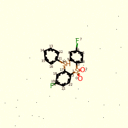 O=S1(=O)c2ccc(F)cc2[SH](c2ccccc2)c2cc(F)ccc21